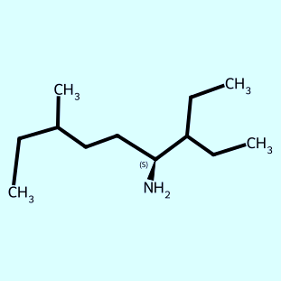 CCC(C)CC[C@H](N)C(CC)CC